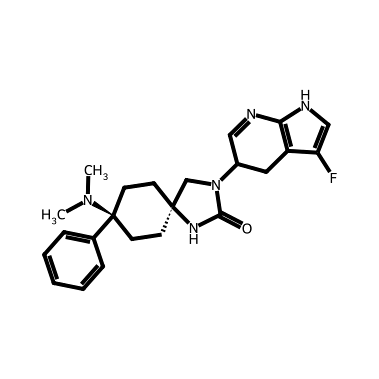 CN(C)[C@]1(c2ccccc2)CC[C@]2(CC1)CN(C1C=Nc3[nH]cc(F)c3C1)C(=O)N2